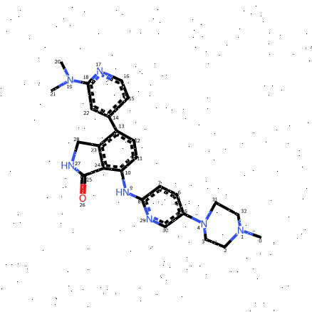 CN1CCN(c2ccc(Nc3ccc(-c4ccnc(N(C)C)c4)c4c3C(=O)NC4)nc2)CC1